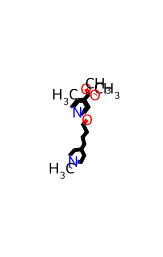 COC(OC)c1cc(OCCCCC2CCN(C)CC2)ncc1C